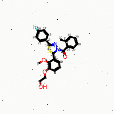 COc1c(OCCO)cccc1C1SC(c2ccc(F)cc2)=NN1C(=O)c1ccccc1C